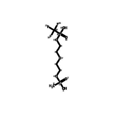 CP(=O)(O)OCCOCCOP(=O)(O)C(F)(F)F